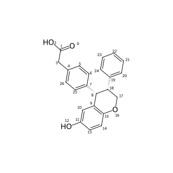 O=C(O)Cc1ccc([C@H]2c3cc(O)ccc3OC[C@H]2c2ccccc2)cc1